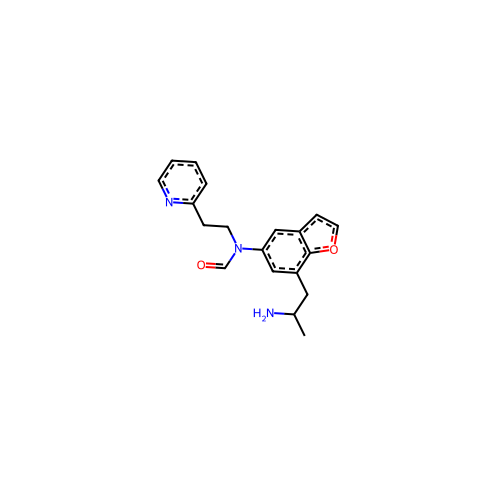 CC(N)Cc1cc(N(C=O)CCc2ccccn2)cc2ccoc12